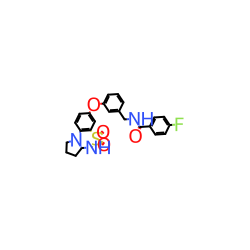 O=C(NCc1cccc(Oc2ccc3c(c2)S(=O)(=O)NC2CCCN32)c1)c1ccc(F)cc1